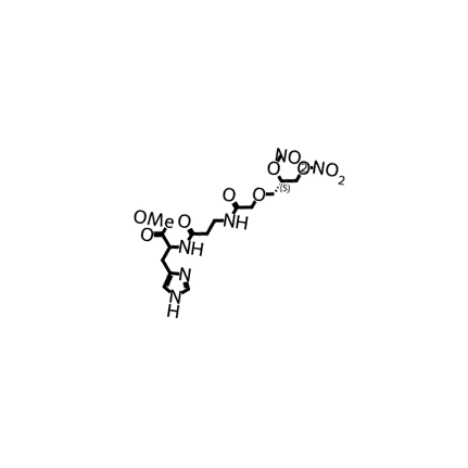 COC(=O)C(Cc1c[nH]cn1)NC(=O)CCNC(=O)COC[C@@H](CO[N+](=O)[O-])O[N+](=O)[O-]